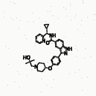 CC(C)(O)CN1CCC(Oc2ccc(-c3n[nH]c4ccc(C(=O)NC(c5ccccn5)C5CC5)cc34)cc2)CC1